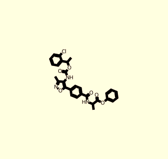 Cc1noc(-c2ccc(C(=O)NC(C)C(=O)Oc3ccccc3)cc2)c1NC(=O)OC(C)c1ccccc1Cl